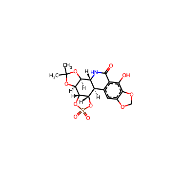 CC1(C)O[C@@H]2[C@H]3OS(=O)(=O)O[C@H]3[C@@H]3c4cc5c(c(O)c4C(=O)N[C@H]3[C@@H]2O1)OCO5